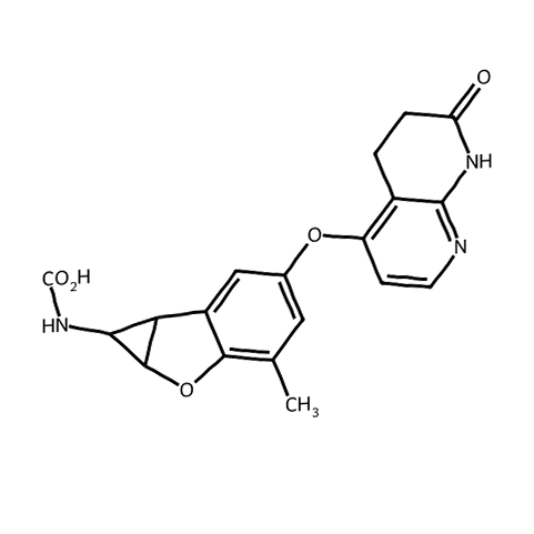 Cc1cc(Oc2ccnc3c2CCC(=O)N3)cc2c1OC1C(NC(=O)O)C21